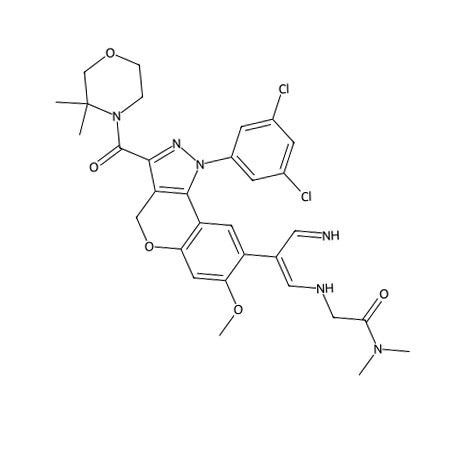 COc1cc2c(cc1/C(C=N)=C/NCC(=O)N(C)C)-c1c(c(C(=O)N3CCOCC3(C)C)nn1-c1cc(Cl)cc(Cl)c1)CO2